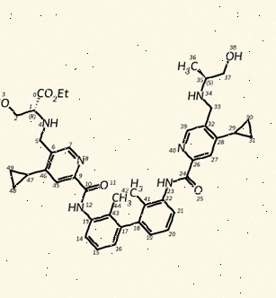 CCOC(=O)[C@@H](CO)NCc1cnc(C(=O)Nc2cccc(-c3cccc(NC(=O)c4cc(C5CC5)c(CN[C@@H](C)CO)cn4)c3C)c2C)cc1C1CC1